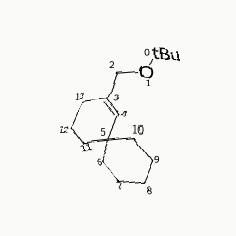 CC(C)(C)OCC1=CC2(CCCCC2)CCC1